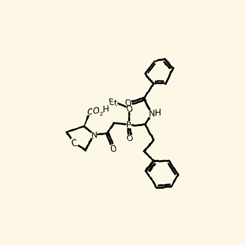 CCOP(=O)(CC(=O)N1CCC[C@H]1C(=O)O)C(CCc1ccccc1)NC(=O)c1ccccc1